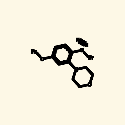 CC(C)Oc1ccc(OC(C)C)c(N2CCOCC2)c1.N#N